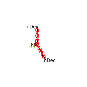 CCCCCCCCCCCCCOCCOCCOCCOCCOCCO[Si](CCCS)(OCC)OCCOCCOCCOCCOCCOCCCCCCCCCCCCC